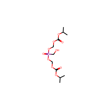 CC(C)OC(=O)OCOP(=O)(CO)OCOC(=O)OC(C)C